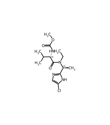 CCN(C(=O)[C@@H](NC(=O)OC)C(C)C)[C@@H](C)c1ncc(Cl)[nH]1